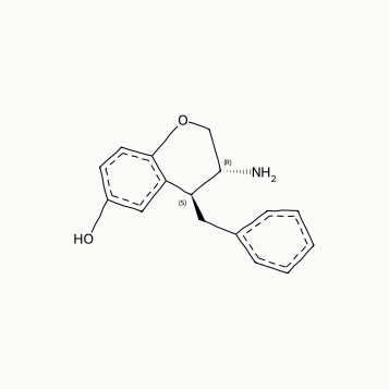 N[C@H]1COc2ccc(O)cc2[C@@H]1Cc1ccccc1